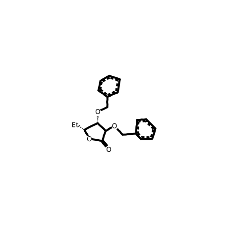 CC[C@H]1OC(=O)C(OCc2ccccc2)[C@H]1OCc1ccccc1